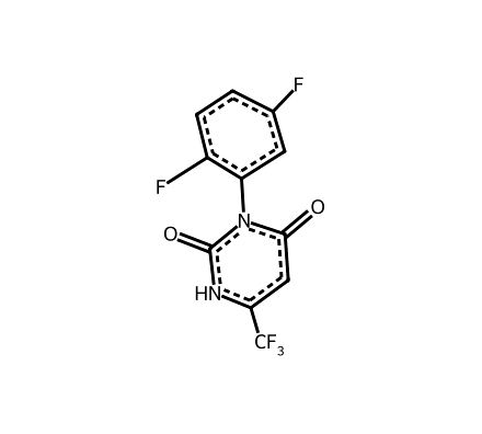 O=c1cc(C(F)(F)F)[nH]c(=O)n1-c1cc(F)ccc1F